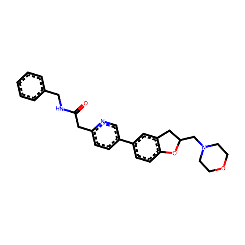 O=C(Cc1ccc(-c2ccc3c(c2)CC(CN2CCOCC2)O3)cn1)NCc1ccccc1